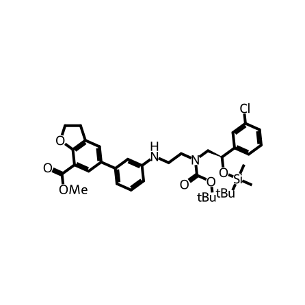 COC(=O)c1cc(-c2cccc(NCCN(C[C@H](O[Si](C)(C)C(C)(C)C)c3cccc(Cl)c3)C(=O)OC(C)(C)C)c2)cc2c1OCC2